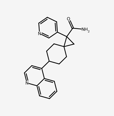 NC(=O)C1(c2cccnc2)CC12CCC(c1ccnc3ccccc13)CC2